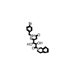 O=CC/C(=N\NCc1ccc(Br)cc1)[C@H](O)[C@@H](O)C(=O)N1CCc2ccccc2C1